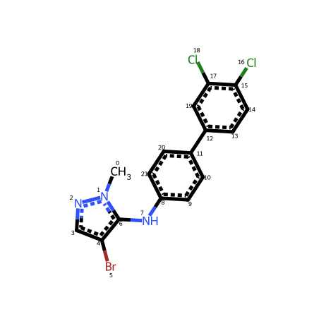 Cn1ncc(Br)c1Nc1ccc(-c2ccc(Cl)c(Cl)c2)cc1